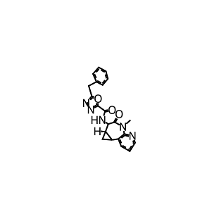 CN1C(=O)C(NC(=O)c2nnc(Cc3ccccc3)o2)[C@H]2CC2c2cccnc21